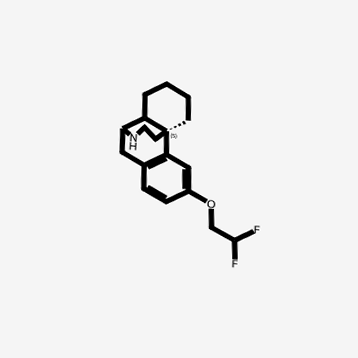 FC(F)COc1ccc2c(c1)[C@]13CCCCC1C(C2)NCC3